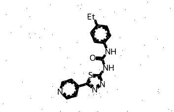 CCc1ccc(NC(=O)Nc2nnc(-c3ccncc3)s2)cc1